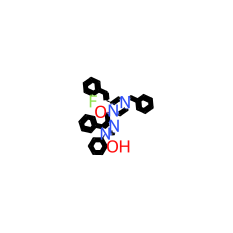 O=C(c1ncn([C@H]2CCCC[C@H]2O)c1-c1ccccc1)N1CCN(Cc2ccccc2)C[C@H]1/C=C/c1ccccc1F